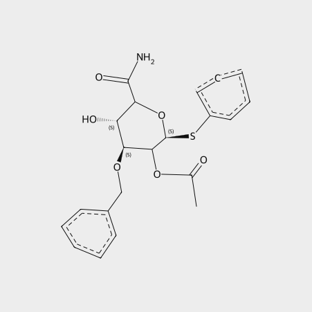 CC(=O)OC1[C@@H](OCc2ccccc2)[C@H](O)C(C(N)=O)O[C@H]1Sc1ccccc1